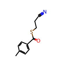 Cc1ccc(C(=O)SCCC#N)cc1